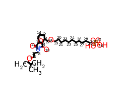 C=C(C)C(=C)OCCCN1C(=O)C2C3C=CC(COCCCCCCCCCCCOP(=O)(O)O)(O3)C2C1=O